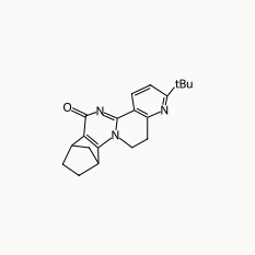 CC(C)(C)c1ccc2c(n1)CCn1c-2nc(=O)c2c1C1CCC2C1